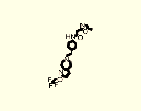 Cc1cnc(CC(=O)N[C@H]2CC[C@H](CCN3CCc4ccc(OCC(F)(F)F)nc4CC3)CC2)o1